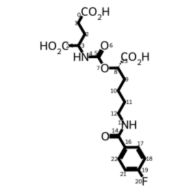 O=C(O)CCC(NC(=O)O[C@@H](CCCCNC(=O)c1ccc(F)cc1)C(=O)O)C(=O)O